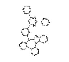 c1ccc(-c2cc(-c3cccc(N4c5ccccc5-c5ccccc5-n5c4nc4ccccc45)c3)nc(-c3ccccc3)n2)cc1